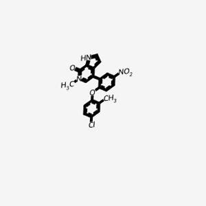 Cc1cc(Cl)ccc1Oc1ccc([N+](=O)[O-])cc1-c1cn(C)c(=O)c2[nH]ccc12